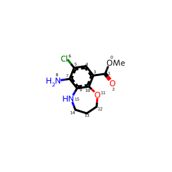 COC(=O)c1cc(Cl)c(N)c2c1OCCCN2